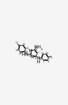 Cc1ccc(Nc2cc(N)nc(Nc3ccc(C)cc3)n2)cc1